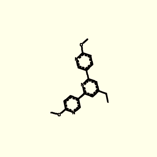 CCc1cc(-c2ccc(OC)nc2)nc(-c2ccc(OC)nc2)c1